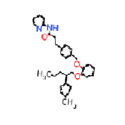 CCCC(COc1ccccc1OCc1ccc(CCC(=O)Nc2ccccn2)cc1)c1ccc(C)cc1